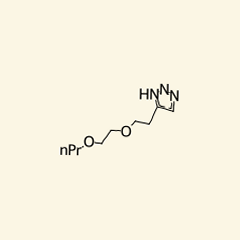 CCCOCCOCCc1cnn[nH]1